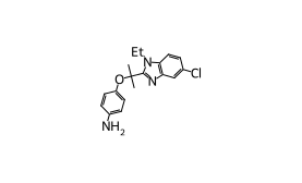 CCn1c(C(C)(C)Oc2ccc(N)cc2)nc2cc(Cl)ccc21